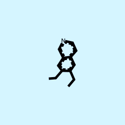 CCc1cc2ccncc2cc1CC